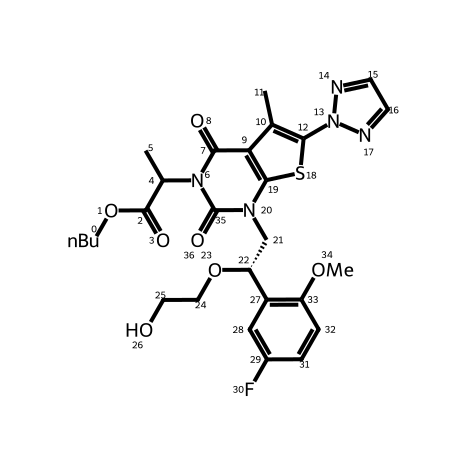 CCCCOC(=O)C(C)n1c(=O)c2c(C)c(-n3nccn3)sc2n(C[C@@H](OCCO)c2cc(F)ccc2OC)c1=O